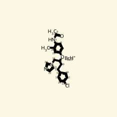 CC(=O)Nc1ccc(OC(CCc2ccc(Cl)cc2)Cn2ccnc2)cc1C.[Br-].[H+]